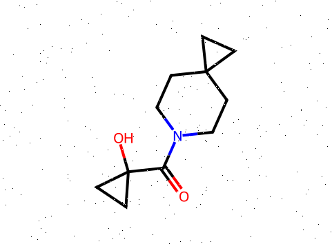 O=C(N1CCC2(CC1)CC2)C1(O)CC1